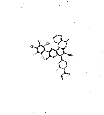 C=CC(=O)N1[C@H](C)CN(c2c(C#N)c(=O)n(C3C(C(C)C)=NC=C[C@H]3C)c3nc(-c4c(O)c(Cl)c(Cl)c(F)c4Cl)c(Cl)cc23)C[C@@H]1C